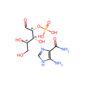 NC(=O)c1nc[nH]c1N.O=C[C@H](OP(=O)(O)O)[C@H](O)[C@H](O)CO